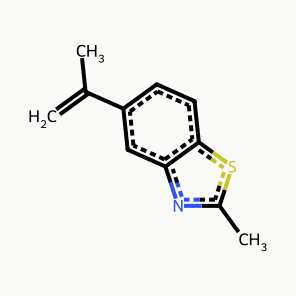 C=C(C)c1ccc2sc(C)nc2c1